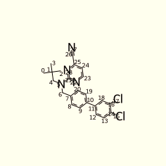 CC(C)(C)CN(Cc1ccc(-c2ccc(Cl)c(Cl)c2)cc1)c1nccc(C#N)n1